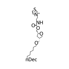 CCCCCCCCCCCCCCCCOC[C@H]1CO[C@H](COC(=O)NCC[n+]2ccsc2)C1